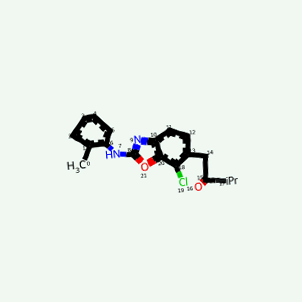 Cc1ccccc1Nc1nc2ccc(CC(=O)C(C)C)c(Cl)c2o1